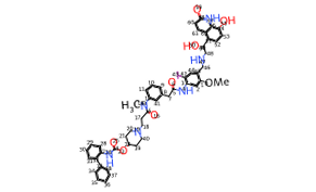 COc1cc(NC(=O)Cc2cccc(N(C)C(=O)CCN3CCC(OC(=O)Nc4ccccc4-c4ccccc4)CC3)c2)c(I)cc1CNC[C@H](O)c1ccc(O)c2[nH]c(=O)ccc12